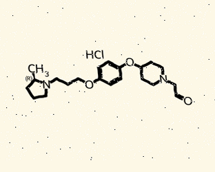 C[C@@H]1CCCN1CCCOc1ccc(OC2CCN(CC=O)CC2)cc1.Cl